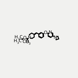 CC(C)(C)OC(=O)N1CCC(=Cc2cccc(Oc3ccc(N4CCC4)cn3)c2)CC1